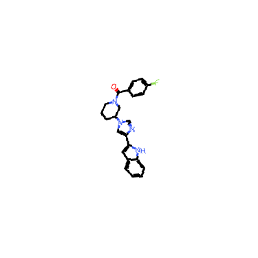 O=C(c1ccc(F)cc1)N1CCCC(n2cnc(-c3cc4ccccc4[nH]3)c2)C1